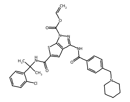 C=COC(=O)n1nc(NC(=O)c2ccc(CN3CCCCC3)cc2)c2cc(C(=O)NC(C)(C)c3ccccc3Cl)sc21